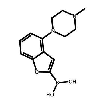 CN1CCN(c2cccc3oc(B(O)O)cc23)CC1